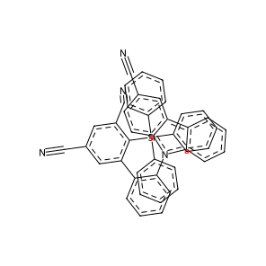 N#Cc1cc(C#N)c([Si](c2ccccc2)(c2ccccc2)c2ccccc2)c(-c2ccccc2-n2c3ccccc3c3cc(C#N)ccc32)c1